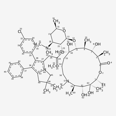 CC[C@H]1OC(=O)[C@H](C)[C@@H](O)[C@H](C)[C@@H](O[C@@H]2O[C@H](C)C[C@H](N(C)C)[C@H]2OC(=O)Cc2c(-c3ccc(Cl)cc3)c(-c3ccccc3)c3n2CC(C)(C)C3)[C@](C)(O)C[C@@H](C)CN(C)[C@H](C)[C@@H](O)[C@]1(C)O